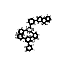 CC1(C)c2ccccc2-c2ccc(-c3cccc(-c4nc(-c5ccccc5)nc(-c5cccc6oc7c(-c8ccccc8)cc(-c8ccccc8)cc7c56)n4)c3)cc21